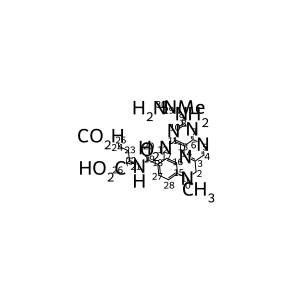 CN(Cc1cnc2nc(N)nc(N)c2n1)c1ccc(C(=O)N[C@@H](CCC(=O)O)C(=O)O)cc1.CNN